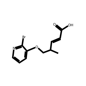 CC(/C=C/C(=O)O)COc1cccnc1Br